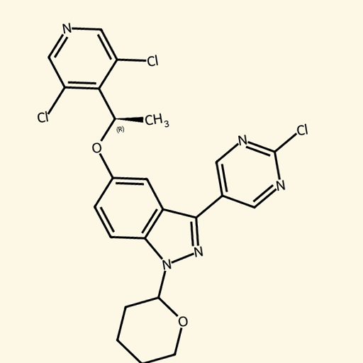 C[C@@H](Oc1ccc2c(c1)c(-c1cnc(Cl)nc1)nn2C1CCCCO1)c1c(Cl)cncc1Cl